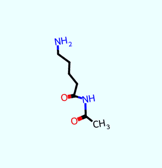 CC(=O)NC(=O)CCCCN